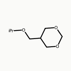 CC(C)OCC1COCOC1